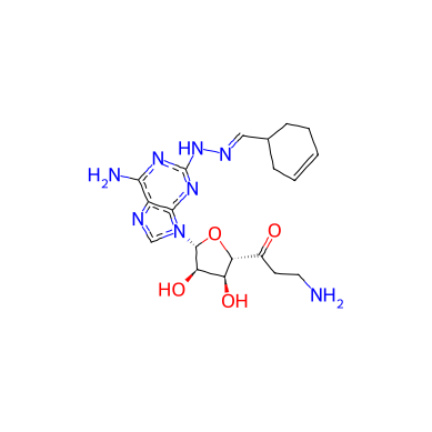 NCCC(=O)[C@H]1O[C@@H](n2cnc3c(N)nc(N/N=C/C4CC=CCC4)nc32)[C@H](O)[C@@H]1O